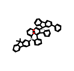 CC1(C)c2ccccc2-c2ccc(N(c3ccccc3)c3ccccc3-c3cccc4c3-c3ccccc3[C@@]43c4ccccc4-c4ccc(-c5ccccc5)cc43)cc21